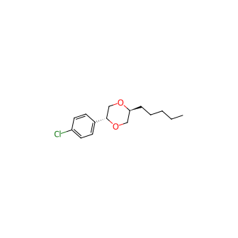 CCCCC[C@H]1CO[C@H](c2ccc(Cl)cc2)CO1